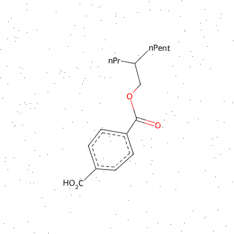 CCCCCC(CCC)COC(=O)c1ccc(C(=O)O)cc1